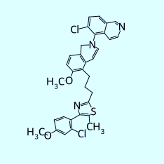 COc1ccc(-c2nc(CCCc3c(OC)ccc4c3C=CN(c3c(Cl)ccc5cnccc35)C4)sc2C)c(Cl)c1